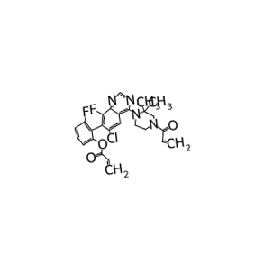 C=CC(=O)Oc1cccc(F)c1-c1c(Cl)cc2c(N3CCN(C(=O)C=C)CC3(C)C)ncnc2c1F